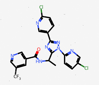 CC(NC(=O)c1cncc(C(F)(F)F)c1)c1nc(-c2ccc(Cl)nc2)nn1-c1ccc(Cl)cn1